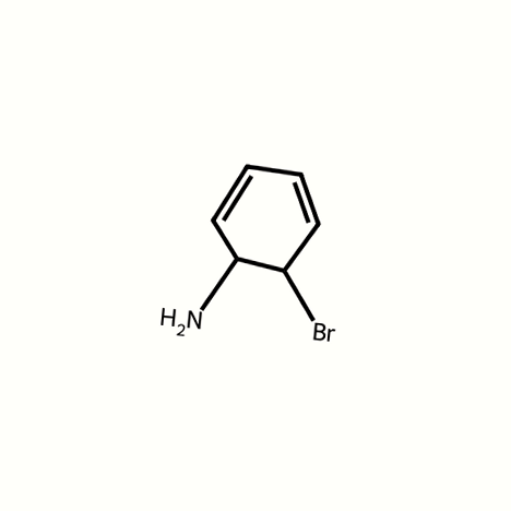 NC1C=CC=CC1Br